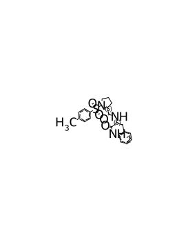 Cc1ccc(S(=O)(=O)N2CCC[C@H]2C(=O)N[C@@H](Cc2ccccc2)C(N)=O)cc1